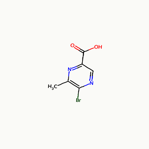 Cc1nc(C(=O)O)cnc1Br